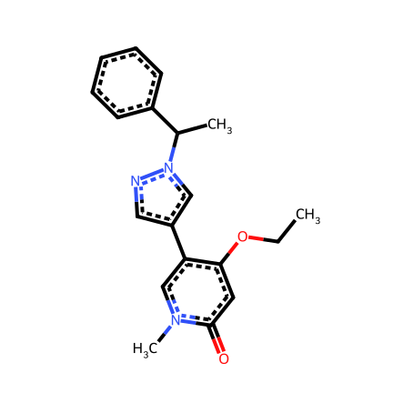 CCOc1cc(=O)n(C)cc1-c1cnn(C(C)c2ccccc2)c1